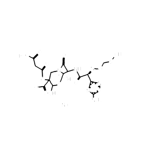 CSCON=C(C(=O)NC1C(=O)N2CC(OC(=O)CC(C)=O)(C(=O)[O-])C(C)S[C@H]12)c1nsc(N)n1.[Na+]